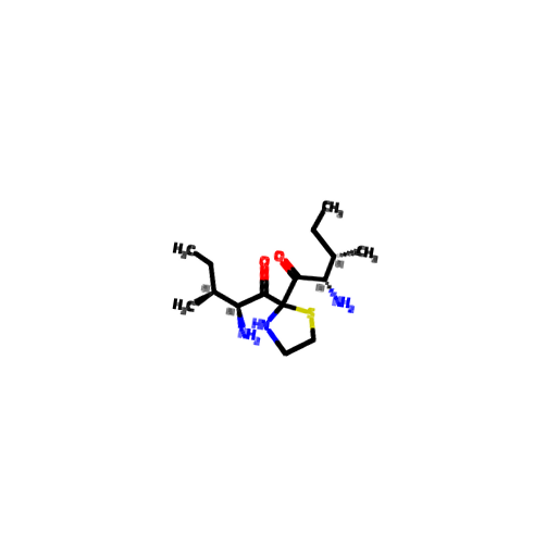 CC[C@H](C)[C@H](N)C(=O)C1(C(=O)[C@@H](N)[C@@H](C)CC)NCCS1